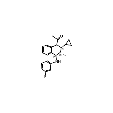 CC(=O)N1c2ccccc2[C@H](Nc2cccc(F)c2)[C@@H](C)[C@@H]1C1CC1